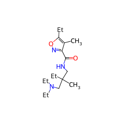 CCc1onc(C(=O)NCC(C)(CC)CN(CC)CC)c1C